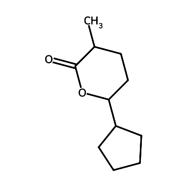 CC1CCC(C2CCCC2)OC1=O